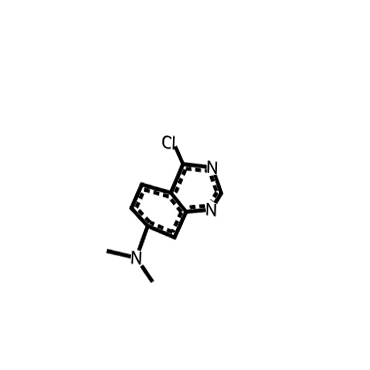 CN(C)c1ccc2c(Cl)ncnc2c1